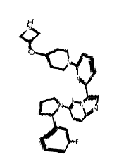 Fc1cccc([C@H]2CCCN2c2ccc3ncc(-c4cccc(N5CCC(OC6CNC6)CC5)n4)n3n2)c1